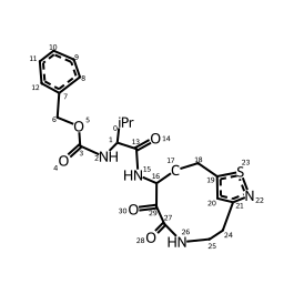 CC(C)C(NC(=O)OCc1ccccc1)C(=O)NC1CCc2cc(ns2)CCNC(=O)C1=O